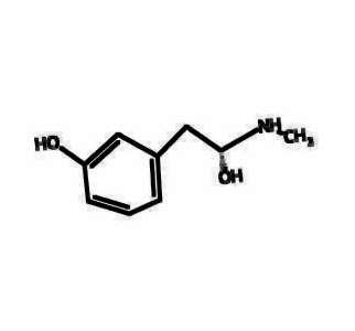 CN[C@H](O)Cc1cccc(O)c1